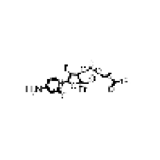 CC[C@@]12COP(=O)(OCSC(=O)C(C)(C)C)OC1[C@@H](F)[C@H](n1ccc(N)cc1=O)O2